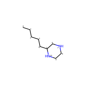 CCCC[CH]C1CNCCN1